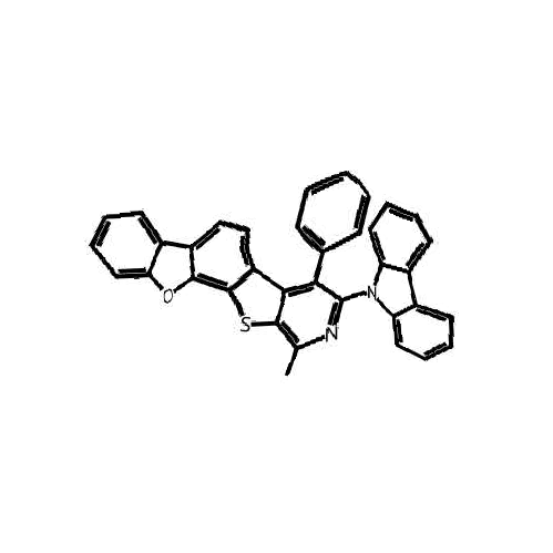 Cc1nc(-n2c3ccccc3c3ccccc32)c(-c2ccccc2)c2c1sc1c2ccc2c3ccccc3oc21